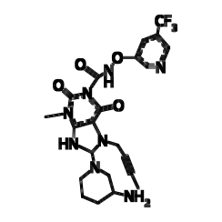 CC#CCN1c2c(n(C)c(=O)n(C(=O)NOc3cncc(C(F)(F)F)c3)c2=O)NC1N1CCCC(N)C1